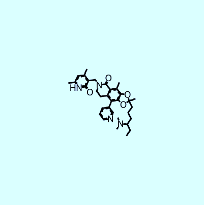 CCC(CCCC1(C)Oc2c(C)c3c(c(-c4cccnc4)c2O1)CCN(Cc1c(C)cc(C)[nH]c1=O)C3=O)N(C)C